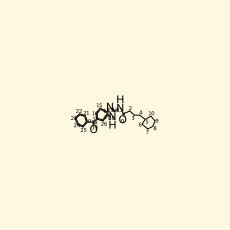 O=C(CCCC1CCCCC1)Nc1nc2ccc(C(=O)c3ccccc3)cc2[nH]1